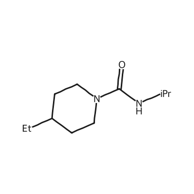 CCC1CCN(C(=O)NC(C)C)CC1